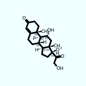 C[C@]12CCC(=O)C=C1CC[C@H]1[C@@H]3CC[C@@](O)(C(=O)CO)[C@@]3(C)C[C@@H](O)[C@@]12F